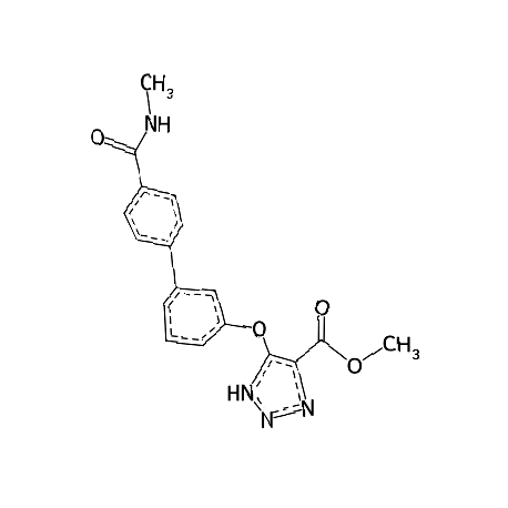 CNC(=O)c1ccc(-c2cccc(Oc3[nH]nnc3C(=O)OC)c2)cc1